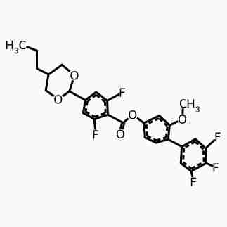 CCCC1COC(c2cc(F)c(C(=O)Oc3ccc(-c4cc(F)c(F)c(F)c4)c(OC)c3)c(F)c2)OC1